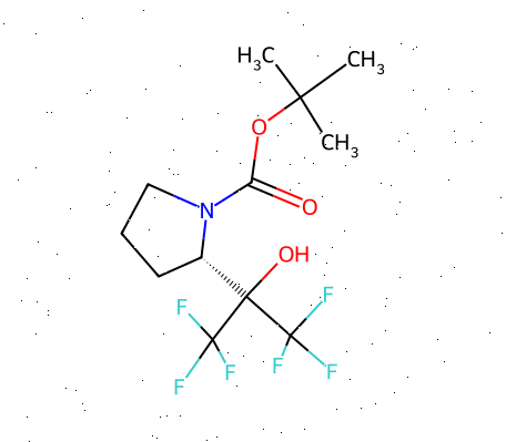 CC(C)(C)OC(=O)N1CCC[C@H]1C(O)(C(F)(F)F)C(F)(F)F